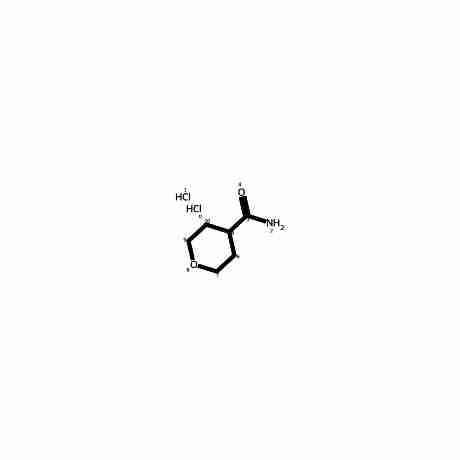 Cl.Cl.NC(=O)C1CCOCC1